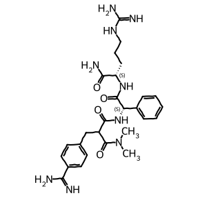 CN(C)C(=O)C(Cc1ccc(C(=N)N)cc1)C(=O)N[C@H](C(=O)N[C@@H](CCCNC(=N)N)C(N)=O)c1ccccc1